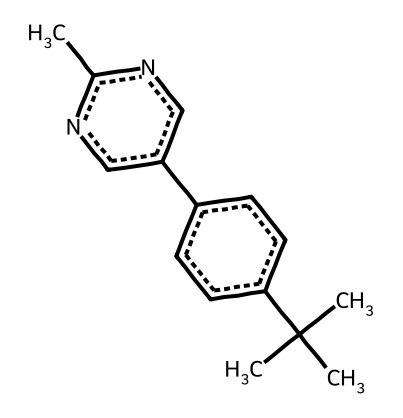 Cc1ncc(-c2ccc(C(C)(C)C)cc2)cn1